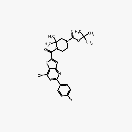 CC(C)(C)OC(=O)N1CCN(C(=O)c2cc3nc(-c4ccc(F)cc4)cc(Cl)c3o2)C(C)(C)C1